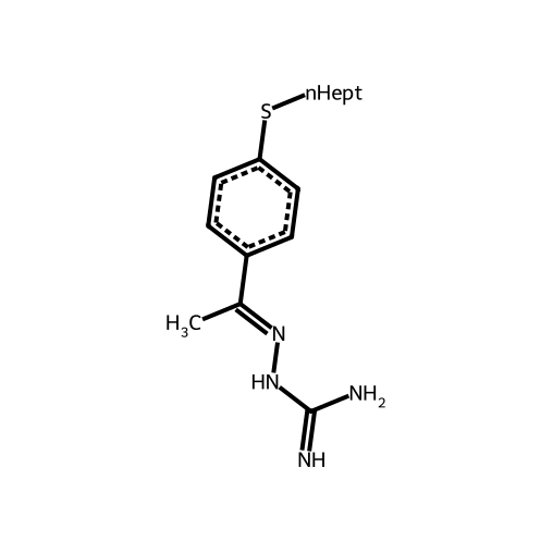 CCCCCCCSc1ccc(C(C)=NNC(=N)N)cc1